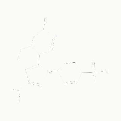 NS(=O)(=O)c1ccc(-n2nc(C(F)F)c3c2-c2ccc(F)cc2CS3)cc1